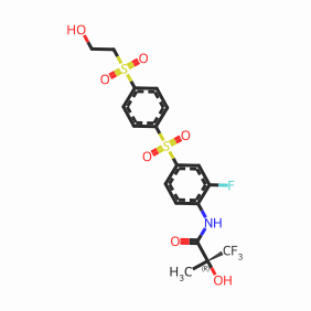 C[C@@](O)(C(=O)Nc1ccc(S(=O)(=O)c2ccc(S(=O)(=O)CCO)cc2)cc1F)C(F)(F)F